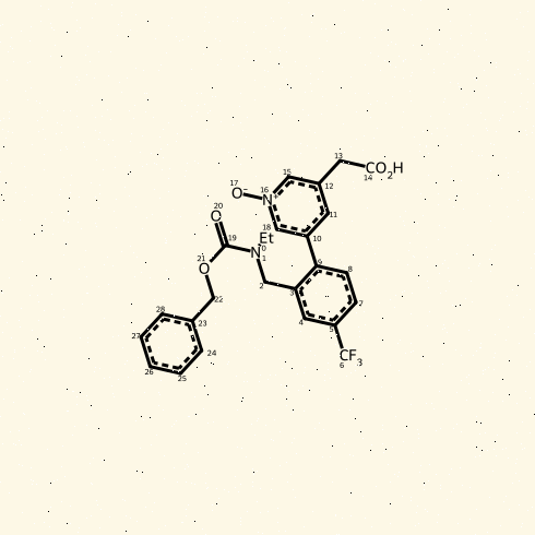 CCN(Cc1cc(C(F)(F)F)ccc1-c1cc(CC(=O)O)c[n+]([O-])c1)C(=O)OCc1ccccc1